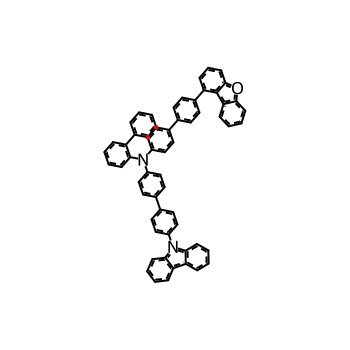 c1ccc(-c2ccccc2N(c2ccc(-c3ccc(-c4cccc5oc6ccccc6c45)cc3)cc2)c2ccc(-c3ccc(-n4c5ccccc5c5ccccc54)cc3)cc2)cc1